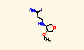 CO[C@H]1COC[C@@H]1NCCC(=N)I